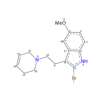 COc1ccc2[nH]c(Br)c(CCN3CC=CCC3)c2c1